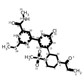 C=CC(=O)N1CCN(S(C)(=O)=O)[C@@H](c2cc(Cl)nc(-c3cc(C(=O)NC)nc(SC)n3)c2)C1